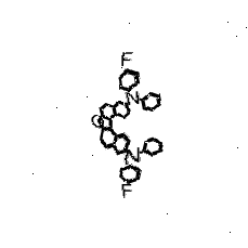 Fc1ccc(N(c2ccccc2)c2ccc3c(ccc4oc5ccc6cc(N(c7ccccc7)c7ccc(F)cc7)ccc6c5c43)c2)cc1